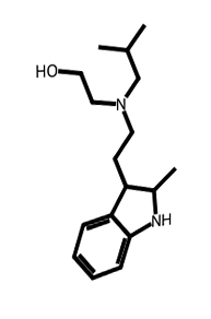 CC(C)CN(CCO)CCC1c2ccccc2NC1C